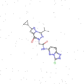 CC(C)c1nn(CC(=O)Nc2ccc3nnc(Cl)n3n2)c(=O)c2cc(C3CC3)nn12